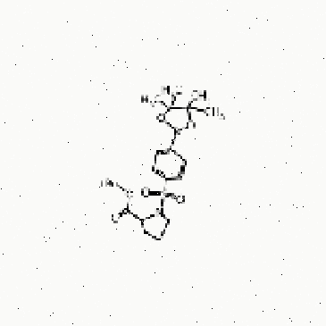 CC(C)(C)OC(=O)C1CCCN1S(=O)(=O)c1ccc(B2OC(C)(C)C(C)(C)O2)cc1